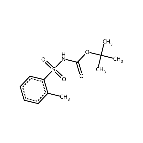 Cc1ccccc1S(=O)(=O)NC(=O)OC(C)(C)C